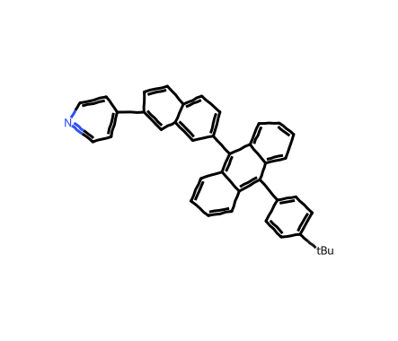 CC(C)(C)c1ccc(-c2c3ccccc3c(-c3ccc4ccc(-c5ccncc5)cc4c3)c3ccccc23)cc1